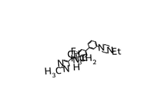 C=C(NC(=C)c1cnc(C)nc1)/C(F)=C\C(=C/C)c1cccc(N2CCN(CC)CC2)c1